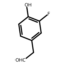 O=[C]Cc1ccc(O)c(F)c1